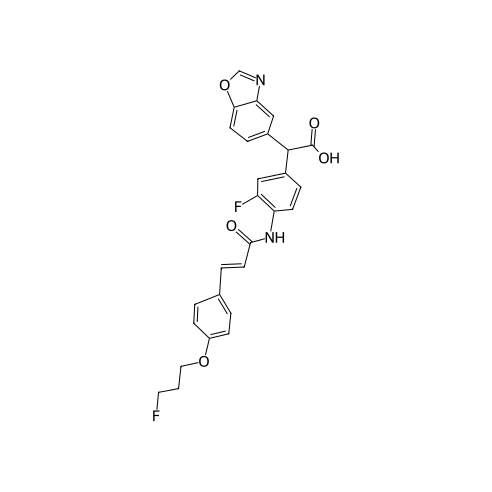 O=C(C=Cc1ccc(OCCCF)cc1)Nc1ccc(C(C(=O)O)c2ccc3ocnc3c2)cc1F